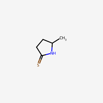 CC1CCC(=S)N1